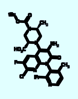 Cc1ccnc(C(C)C)c1-n1c(=O)c(N)c(N2C[C@@H](C)N(C(=O)OC(C)(C)C)C[C@@H]2C(=O)O)c2cc(F)c(Cl)nc21